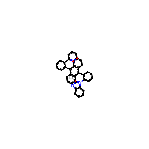 CCc1nc2ccccc2n1-c1ccccc1-c1c2ccccc2c(-c2ccccc2-c2ccccn2)c2ccccc12